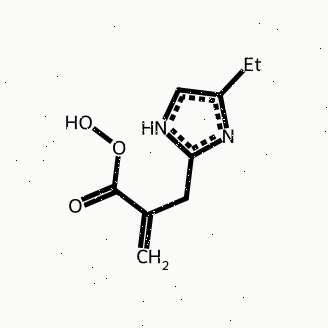 C=C(Cc1nc(CC)c[nH]1)C(=O)OO